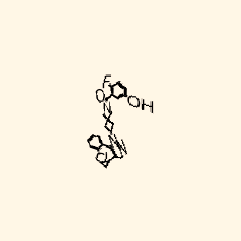 O=C(c1cc(O)ccc1F)N1CC2(CC(n3ncc(C4CC4)c3-c3ccccc3Cl)C2)C1